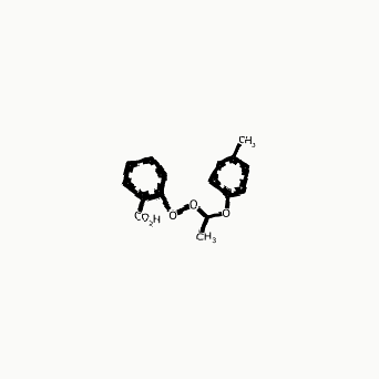 Cc1ccc(OC(C)OOc2ccccc2C(=O)O)cc1